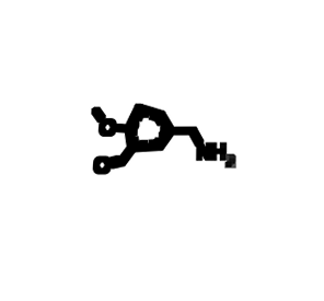 COc1ccc(CN)cc1C=O